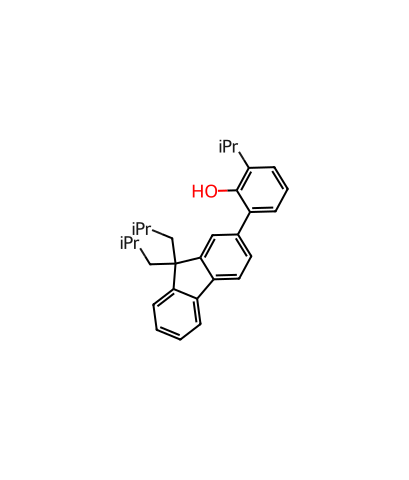 CC(C)CC1(CC(C)C)c2ccccc2-c2ccc(-c3cccc(C(C)C)c3O)cc21